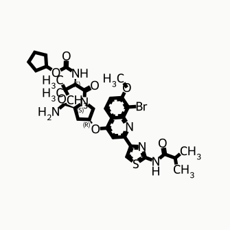 COc1ccc2c(O[C@@H]3C[C@@H](C(N)=O)N(C(=O)[C@@H](NC(=O)OC4CCCC4)C(C)(C)C)C3)cc(-c3csc(NC(=O)C(C)C)n3)nc2c1Br